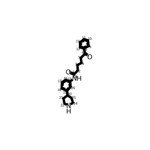 O=C(CCCCC(=O)c1ccccc1)Nc1cccc(C2CCNCC2)c1